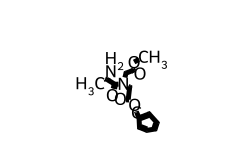 COC(=O)CN(CC(=O)OCc1ccccc1)C(=O)[C@H](C)N